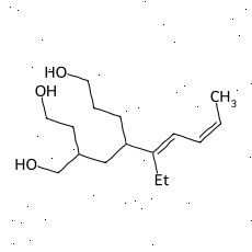 C/C=C\C=C(/CC)C(CCCO)CC(CO)CCO